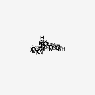 c1ccc(-c2ccnc3[nH]c(-c4n[nH]c5ccc(-c6cncc(OC7CCNCC7)c6)nc45)cc23)nc1